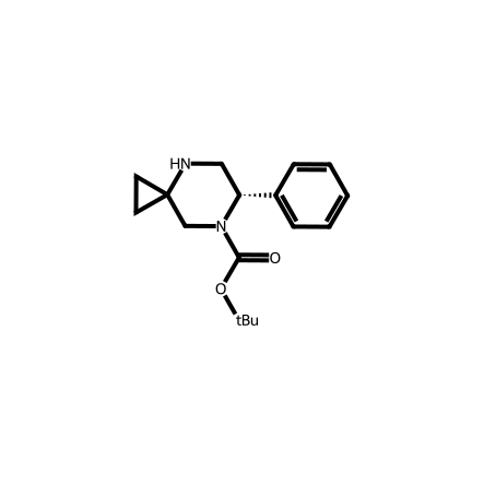 CC(C)(C)OC(=O)N1CC2(CC2)NC[C@@H]1c1ccccc1